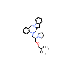 CC(C)COCC(CN1Cc2cc3ccccc3n2Cc2ccccc21)N1CCCC1